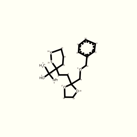 CCCC(C)(O)C1(CCC2(COCc3ccccc3)OCCO2)CCCSS1